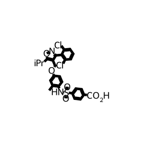 Cc1cc(OCc2c(-c3c(Cl)cccc3Cl)noc2C(C)C)ccc1NS(=O)(=O)c1ccc(C(=O)O)cc1